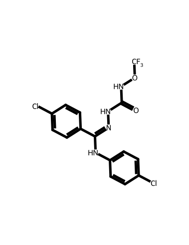 O=C(NN=C(Nc1ccc(Cl)cc1)c1ccc(Cl)cc1)NOC(F)(F)F